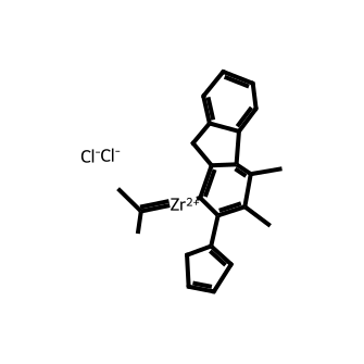 C[C](C)=[Zr+2][c]1c2c(c(C)c(C)c1C1=CC=CC1)-c1ccccc1C2.[Cl-].[Cl-]